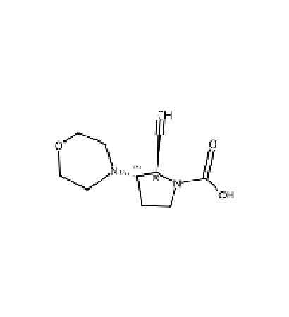 C#C[C@@H]1[C@@H](N2CCOCC2)CCN1C(=O)O